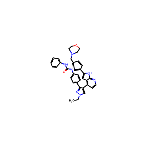 CCn1cc(-c2ccnc3[nH]c(-c4ccc(CN5CCOCC5)cc4)cc23)c(-c2ccc(NC(=O)Nc3ccccc3)cc2)n1